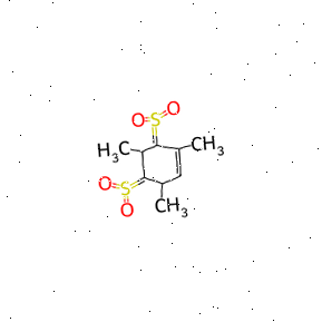 CC1=CC(C)C(=S(=O)=O)C(C)C1=S(=O)=O